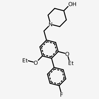 CCOc1cc(CN2CCC(O)CC2)cc(OCC)c1-c1ccc(F)cc1